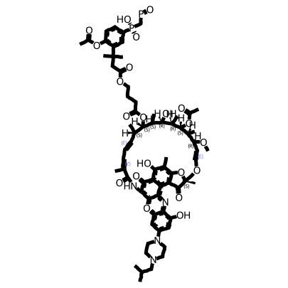 CO[C@H]1/C=C/O[C@@]2(C)Oc3c(C)c(O)c4c(=O)c(c5oc6cc(N7CCN(CC(C)C)CC7)cc(O)c6nc-5c4c3C2=O)NC(=O)/C(C)=C\C=C\[C@H](C)[C@H](OC(=O)CCCOC(=O)CC(C)(C)c2cc(P(=O)(O)CP=O)ccc2OC(C)=O)[C@@H](C)[C@@H](O)[C@@H](C)[C@H](OC(C)=O)[C@@H]1C